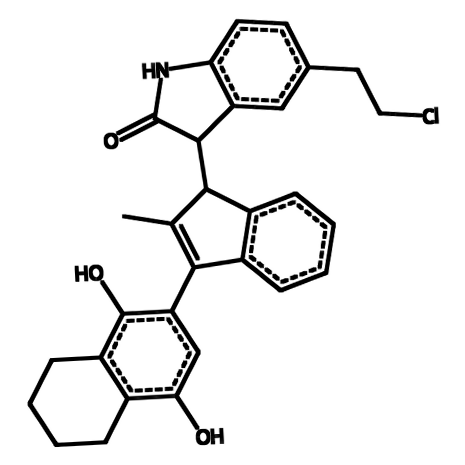 CC1=C(c2cc(O)c3c(c2O)CCCC3)c2ccccc2C1C1C(=O)Nc2ccc(CCCl)cc21